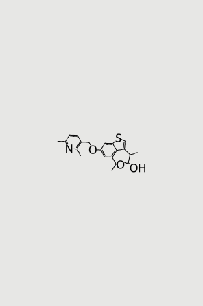 CCc1cc(OCc2ccc(C)nc2C)cc2scc(C(C)C(=O)O)c12